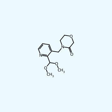 COC(OC)c1ncccc1CN1CCOCC1=O